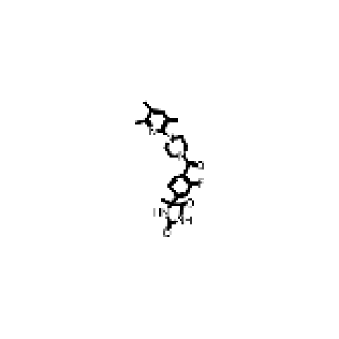 Cc1cc(C)c(N2CCN(C(=O)c3ccc(C4(C)NC(=O)NC4=O)cc3F)CC2)nc1C